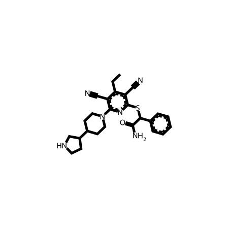 CCc1c(C#N)c(SC(C(N)=O)c2ccccc2)nc(N2CCC(C3CCNC3)CC2)c1C#N